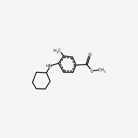 COC(=O)c1ccc(NC2CCCCC2)c(C)c1